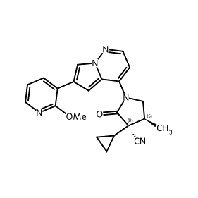 COc1ncccc1-c1cc2c(N3C[C@@H](C)[C@@](C#N)(C4CC4)C3=O)ccnn2c1